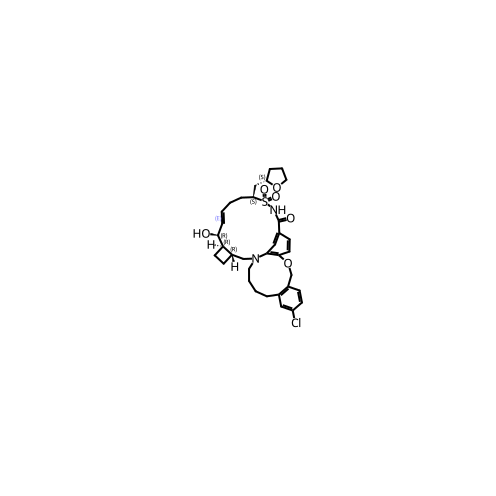 O=C1NS(=O)(=O)[C@H](C[C@@H]2CCCO2)CC/C=C/[C@H](O)[C@@H]2CC[C@H]2CN2CCCCc3cc(Cl)ccc3COc3ccc1cc32